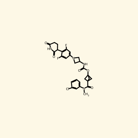 CN(C(=O)C12CC(OC(=O)NC3CN(c4cc(F)c(C5CCC(=O)NC5=O)c(F)c4)C3)(C1)C2)c1cccc(Cl)c1